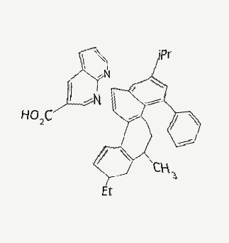 CCC1C=CC2=C(C1)C(C)Cc1c2ccc2cc(C(C)C)cc(-c3ccccc3)c12.O=C(O)c1cnc2ncccc2c1